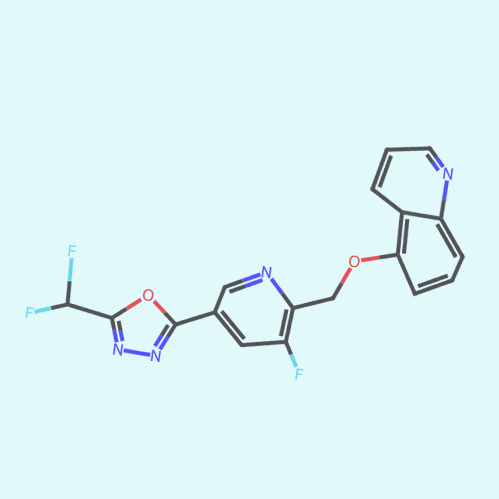 Fc1cc(-c2nnc(C(F)F)o2)cnc1COc1cccc2ncccc12